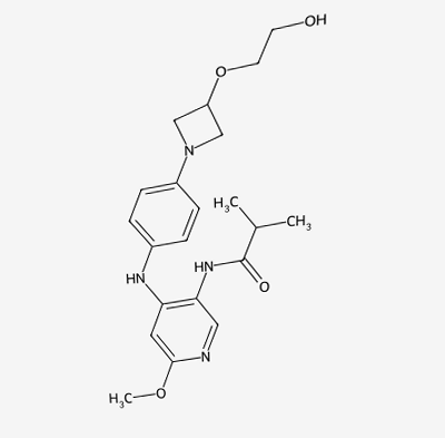 COc1cc(Nc2ccc(N3CC(OCCO)C3)cc2)c(NC(=O)C(C)C)cn1